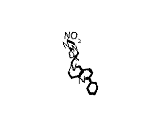 C[C@]1(CN2CCc3nc(C4CCCCC4)ccc3C2)Cn2cc([N+](=O)[O-])nc2O1